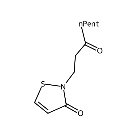 CCCCCC(=O)CCn1sccc1=O